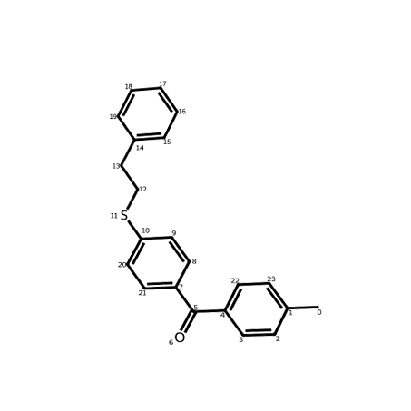 Cc1ccc(C(=O)c2ccc(SCCc3ccccc3)cc2)cc1